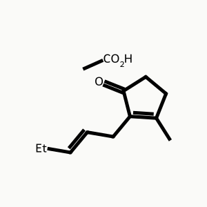 CC(=O)O.CC/C=C/CC1=C(C)CCC1=O